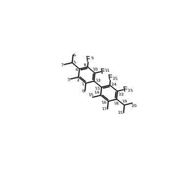 Cc1c(C)c(C(C)C)c(F)c(F)c1-c1c(C)c(C)c(C(C)C)c(F)c1F